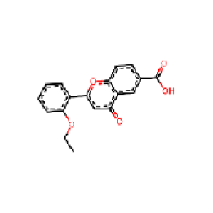 CCOc1ccccc1-c1cc(=O)c2cc(C(=O)O)ccc2o1